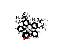 Cc1cc2c(cc1[Si](C)(C)C)-c1cc([Si](C)(C)C)c(C)cc1[Si](c1ccccc1)(c1ccccc1)[Si]2(c1ccccc1)c1ccccc1